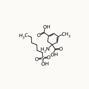 CC1=CC(N)(C(=O)O)CC(C(=O)O)=C1.CCCCCCS(=O)(=O)O